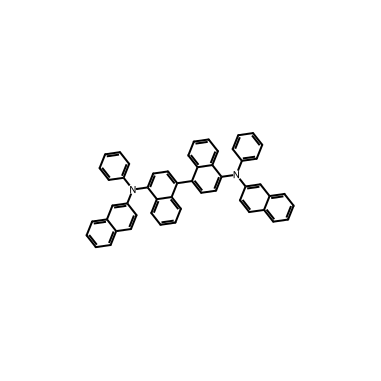 c1ccc(N(c2ccc3ccccc3c2)c2ccc(-c3ccc(N(c4ccccc4)c4ccc5ccccc5c4)c4ccccc34)c3ccccc23)cc1